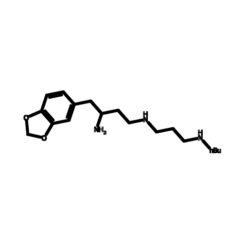 CCCCNCCCNCCC(N)Cc1ccc2c(c1)OCO2